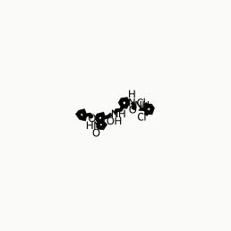 O=C(NCc1c(Cl)cccc1Cl)Nc1cccc(CCNC[C@@H](O)c2ccc(OCc3ccccc3)c3[nH]c(=O)ccc23)c1